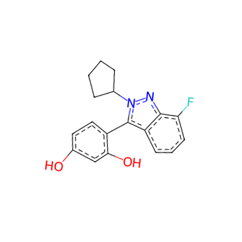 Oc1ccc(-c2c3cccc(F)c3nn2C2CCCC2)c(O)c1